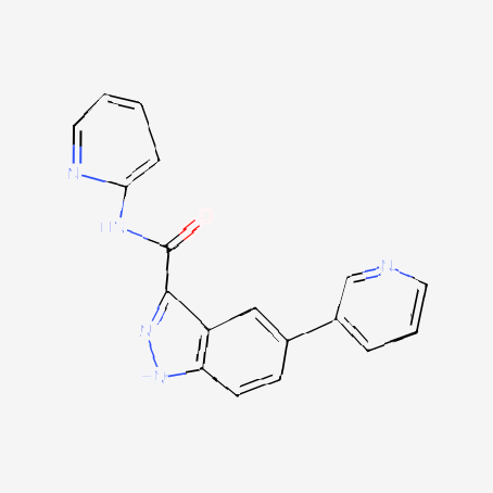 O=C(Nc1ccccn1)c1n[nH]c2ccc(-c3cccnc3)cc12